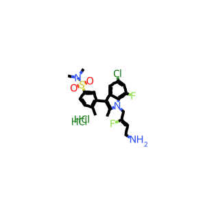 Cc1ccc(S(=O)(=O)N(C)C)cc1-c1c(C)n(C/C(F)=C/CN)c2c(F)cc(Cl)cc12.Cl.Cl